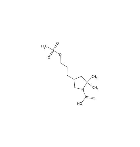 CC1(C)CC(CCCOS(C)(=O)=O)CN1C(=O)O